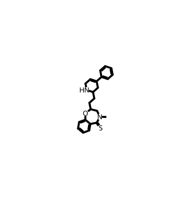 CN1CC(CCC2CC(c3ccccc3)=CCN2)Oc2ccccc2C1=S